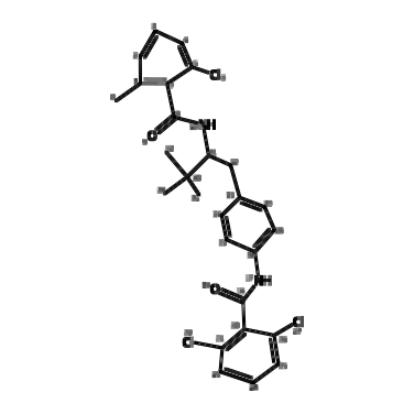 Cc1cccc(Cl)c1C(=O)NC(Cc1ccc(NC(=O)c2c(Cl)cccc2Cl)cc1)C(C)(C)C